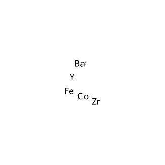 [Ba].[Co].[Fe].[Y].[Zr]